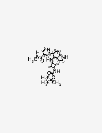 CNC(=O)c1ccnc(-c2cnc3[nH]ccc3c2NC2CC(NC(=O)OC(C)(C)C)C2)c1